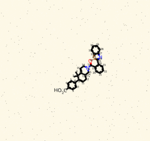 CC1(C)C(c2ccc(C(=O)O)cc2)=CC[C@]2(C)CN(C(=O)c3ccccc3-c3nc4ccccc4s3)CC=C12